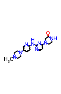 CN1CCN(c2ccc(Nc3nccc(N4CCNC(=O)C4)n3)nc2)CC1